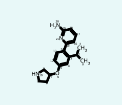 CC(C)c1cc(OC2CCNC2)ccc1-c1cccc(N)n1